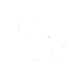 CCCCn1c(-c2cc(OC)c(OC)c(OC)c2)nc2c1C(=O)c1ccccc1/C2=N\OCc1ccccc1